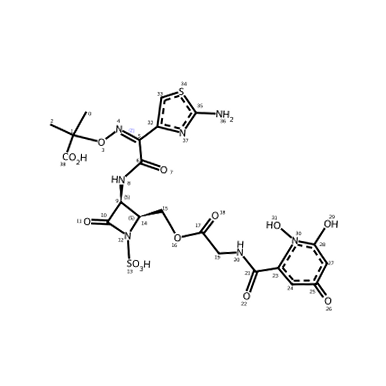 CC(C)(O/N=C(\C(=O)N[C@@H]1C(=O)N(S(=O)(=O)O)[C@@H]1COC(=O)CNC(=O)c1cc(=O)cc(O)n1O)c1csc(N)n1)C(=O)O